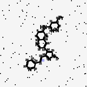 CC(C)c1cnnc(Nc2ccc3ncc(-c4cn(C)nc4/C=C/c4cccnc4)cc3n2)c1